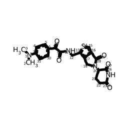 CN(C)c1ccc(C(=O)C(=O)NCc2scc3c2CN(C2CCC(=O)NC2=O)C3=O)cc1